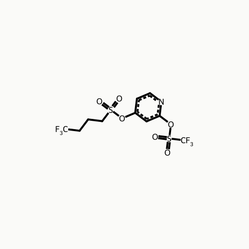 O=S(=O)(CCCC(F)(F)F)Oc1ccnc(OS(=O)(=O)C(F)(F)F)c1